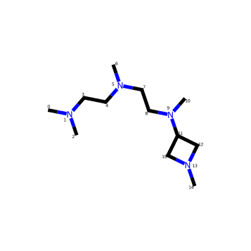 CN(C)CCN(C)CCN(C)C1CN(C)C1